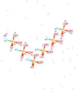 I.O=P(O)(O)F.O=P(O)(O)F.O=P(O)(O)F.O=P(O)(O)F.O=P(O)(O)F.O=P(O)(O)F